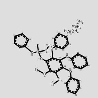 CCOc1c(OCC)c(O[Si](C)(OCC)Oc2ccccc2)c(Oc2ccccc2)c(Oc2ccccc2)c1Oc1ccccc1.[SiH4].[SiH4].[SiH4].[SiH4]